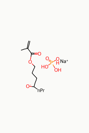 C=C(C)C(=O)OCCCC([O-])CCC.O=P(O)(O)O.[Na+]